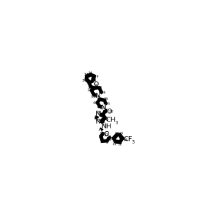 Cc1c(NC[C@H]2CCC[C@@H](c3ccc(C(F)(F)F)cc3)O2)ncnc1C(=O)N1CCC(N2CCC3(CC2)Cc2ccccc2O3)CC1